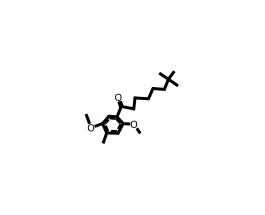 COc1cc(C(=O)CCCCCC(C)(C)C)c(OC)cc1C